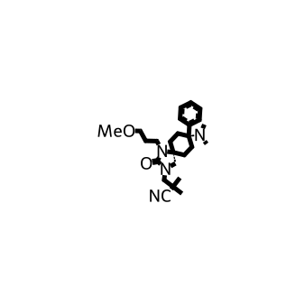 COCCCN1C(=O)N(CC(C)(C)C#N)C[C@]12CC[C@@](c1ccccc1)(N(C)C)CC2